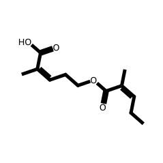 CCC=C(C)C(=O)OCCC=C(C)C(=O)O